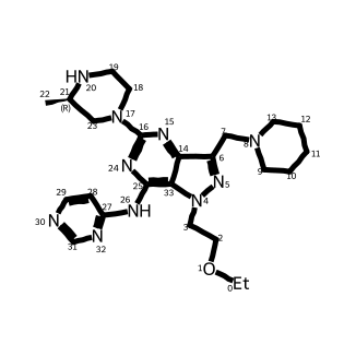 CCOCCn1nc(CN2CCCCC2)c2nc(N3CCN[C@H](C)C3)nc(Nc3ccncn3)c21